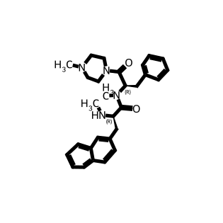 CN[C@H](Cc1ccc2ccccc2c1)C(=O)N(C)[C@H](Cc1ccccc1)C(=O)N1CCN(C)CC1